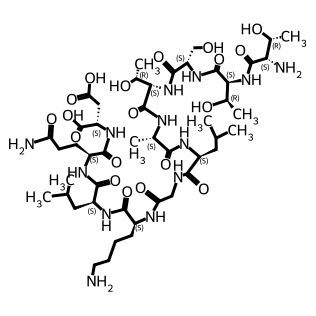 CC(C)C[C@H](NC(=O)[C@H](C)NC(=O)[C@@H](NC(=O)[C@H](CO)NC(=O)[C@@H](NC(=O)[C@@H](N)[C@@H](C)O)[C@@H](C)O)[C@@H](C)O)C(=O)NCC(=O)N[C@@H](CCCCN)C(=O)N[C@@H](CC(C)C)C(=O)N[C@@H](CCC(N)=O)C(=O)N[C@@H](CC(=O)O)C(=O)O